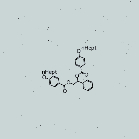 CCCCCCCOc1ccc(C(=O)OCC(OC(=O)c2ccc(OCCCCCCC)cc2)c2ccccc2)cc1